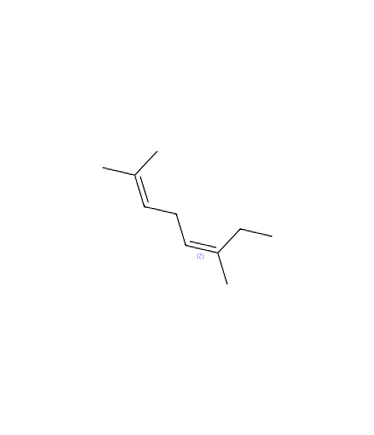 CC/C(C)=C\CC=C(C)C